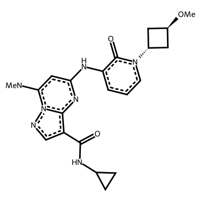 CNc1cc(Nc2cccn([C@H]3C[C@H](OC)C3)c2=O)nc2c(C(=O)NC3CC3)cnn12